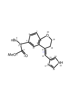 CCCCN(C(=O)OC)c1ccc2c(c1)/C(=C/c1c[nH]cn1)CCO2